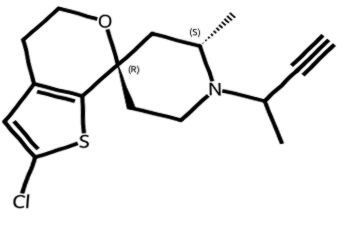 C#CC(C)N1CC[C@]2(C[C@@H]1C)OCCc1cc(Cl)sc12